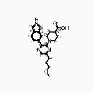 COCCCc1cnc(-c2ccc3c[nH]nc3c2)c(N2CCC(C(=O)O)CC2)n1